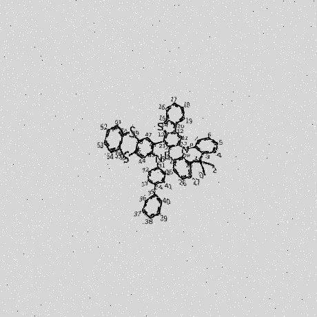 CC1(C)c2ccccc2N2c3cc4c(sc5ccccc54)c4c3B(c3cccc1c32)N(c1ccc(-c2ccccc2)cc1)c1cc2c(cc1-4)Sc1ccccc1S2